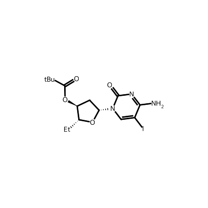 CC[C@H]1O[C@@H](n2cc(I)c(N)nc2=O)C[C@@H]1OC(=O)C(C)(C)C